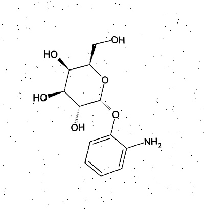 Nc1ccccc1O[C@H]1O[C@H](CO)[C@H](O)[C@H](O)[C@H]1O